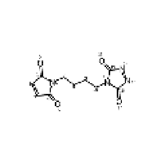 O=C1C=CC(=O)N1CCCCN1C(=O)N=NC1=O